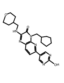 O=c1c(NCC2CCOCC2)nc2ccc(-c3cnc(O)nc3)nc2n1CC1CCCCC1